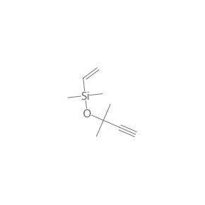 C#CC(C)(C)O[Si](C)(C)C=C